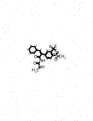 CNC(=O)NC(=O)C(=CC1CCCCC1)c1ccc(S(C)(=O)=O)c(C(F)(F)F)c1